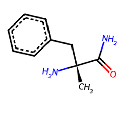 C[C@@](N)(Cc1ccccc1)C(N)=O